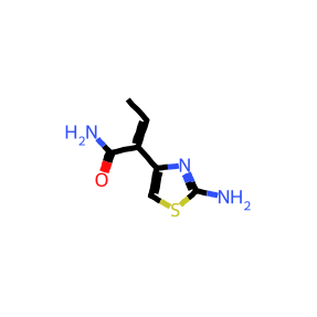 CC=C(C(N)=O)c1csc(N)n1